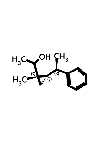 CC(O)[C@@]1(C)C[C@H]1[C@@H](C)c1ccccc1